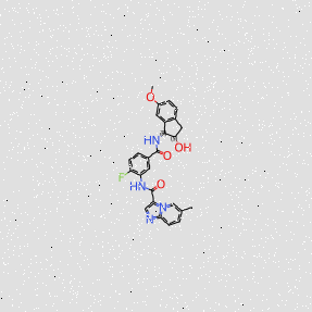 COc1ccc2c(c1)[C@@H](NC(=O)c1ccc(F)c(NC(=O)c3cnc4ccc(C)cn34)c1)[C@@H](O)C2